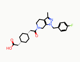 Cc1nn(Cc2ccc(F)cc2)c2c1CCN(C(=O)C[C@H]1CC[C@@H](CC(=O)O)CC1)C2